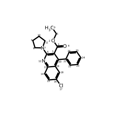 CCOC(=O)c1c(N2CCCC2)nc2ccc(Cl)cc2c1-c1ccccc1